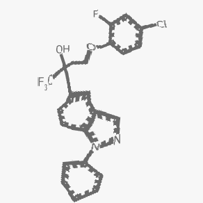 OC(COc1ccc(Cl)cc1F)(c1ccc2c(cnn2-c2ccccc2)c1)C(F)(F)F